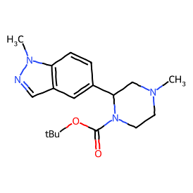 CN1CCN(C(=O)OC(C)(C)C)C(c2ccc3c(cnn3C)c2)C1